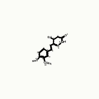 CCC1CC(=O)NN=C1C=Cc1ccc(SC)c(OC)c1